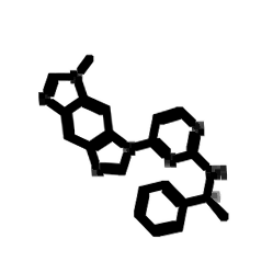 C[C@H](Nc1nccc(-n2cnc3cc4ncn(C)c4cc32)n1)c1ccccc1